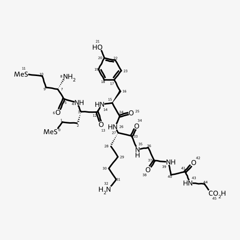 CSCC[C@H](NC(=O)[C@@H](N)CCSC)C(=O)N[C@@H](Cc1ccc(O)cc1)C(=O)N[C@@H](CCCCN)C(=O)NCC(=O)NCC(=O)NCC(=O)O